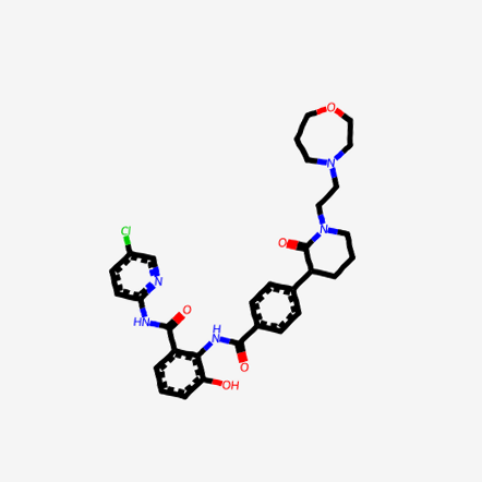 O=C(Nc1c(O)cccc1C(=O)Nc1ccc(Cl)cn1)c1ccc(C2CCCN(CCN3CCCOCC3)C2=O)cc1